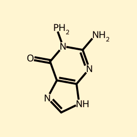 Nc1nc2[nH]cnc2c(=O)n1P